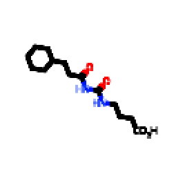 O=C(O)CCCNC(=O)NC(=O)CCC1CCCCC1